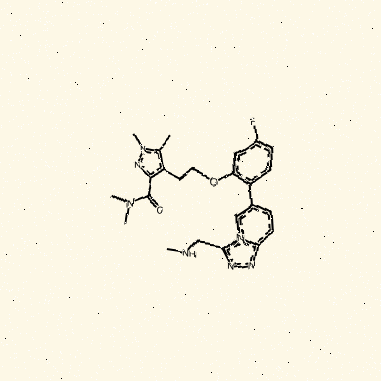 CNCc1nnc2ccc(-c3ccc(F)cc3OCCc3c(C(=O)N(C)C)nn(C)c3C)cn12